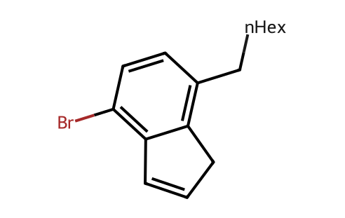 CCCCCCCc1ccc(Br)c2c1CC=C2